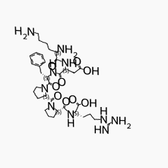 N=C(N)NCCC[C@H](NC(=O)[C@@H]1CCCN1C(=O)[C@@H]1CCCN1C(=O)[C@H](Cc1ccccc1)NC(=O)[C@H](CC(=O)O)NC(=O)[C@@H](N)CCCCN)C(=O)O